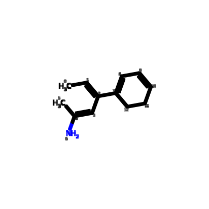 C/C=C(\C=C(/C)N)C1=CC=CCC1